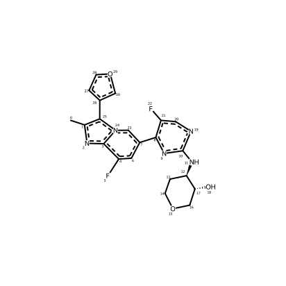 Cc1nc2c(F)cc(-c3nc(N[C@@H]4CCOC[C@H]4O)ncc3F)cn2c1-c1ccoc1